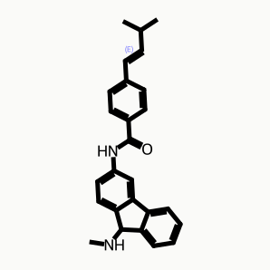 CNC1c2ccccc2-c2cc(NC(=O)c3ccc(/C=C/C(C)C)cc3)ccc21